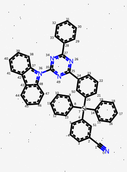 N#Cc1cccc([Si](c2ccccc2)(c2ccccc2)c2cccc(-c3nc(-c4ccccc4)nc(-n4c5ccccc5c5ccccc54)n3)c2)c1